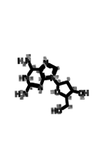 NC1=Nc2c(ncn2C2CC(O)C(CO)O2)C(N)N1